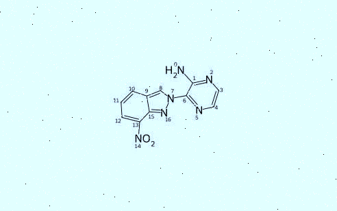 Nc1nccnc1-n1cc2cccc([N+](=O)[O-])c2n1